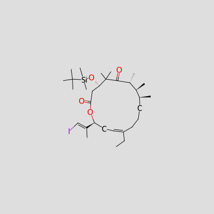 CC/C1=C/C[C@@H](/C(C)=C/I)OC(=O)C[C@H](O[Si](C)(C)C(C)(C)C)C(C)(C)C(=O)[C@H](C)[C@@H](C)[C@@H](C)CCC1